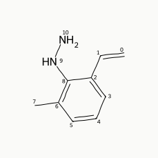 C=Cc1cccc(C)c1NN